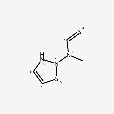 CN([C]=S)N1NC=CS1